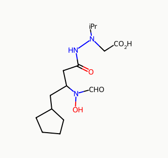 CC(C)N(CC(=O)O)NC(=O)CC(CC1CCCC1)N(O)C=O